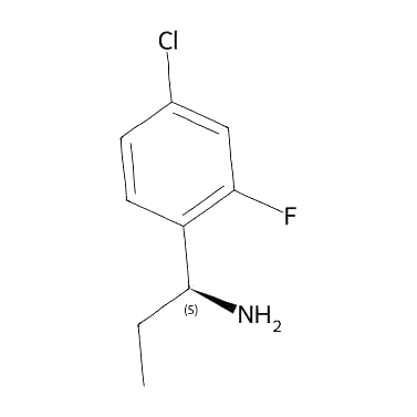 CC[C@H](N)c1ccc(Cl)cc1F